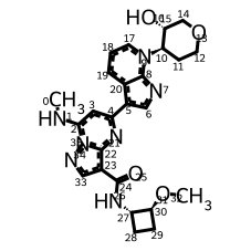 CNc1cc(-c2cnc3n([C@@H]4CCOC[C@H]4O)cccc2-3)nc2c(C(=O)N[C@H]3CC[C@@H]3OC)cnn12